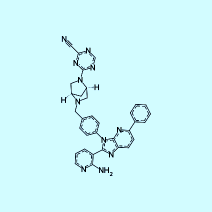 N#Cc1ncnc(N2C[C@H]3C[C@@H]2CN3Cc2ccc(-n3c(-c4cccnc4N)nc4ccc(-c5ccccc5)nc43)cc2)n1